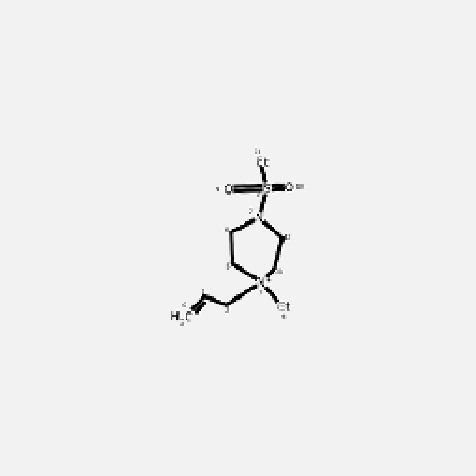 C=CC[N+]1(CC)CCN(S(=O)(=O)CC)CC1